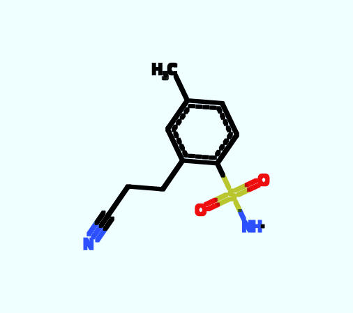 Cc1ccc(S([NH])(=O)=O)c(CCC#N)c1